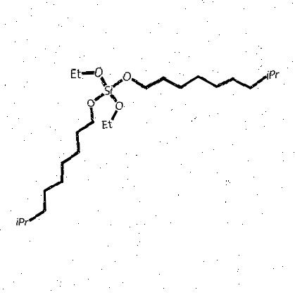 CCO[Si](OCC)(OCCCCCCCC(C)C)OCCCCCCCC(C)C